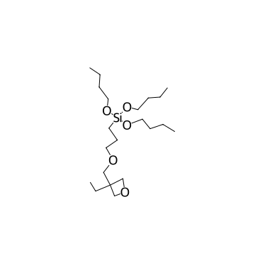 CCCCO[Si](CCCOCC1(CC)COC1)(OCCCC)OCCCC